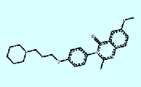 COc1ccc2nc(C)n(-c3ccc(OCCCN4CCCCC4)cc3)c(=O)c2c1